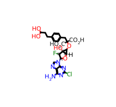 Nc1nc(Cl)nc2c1ncn2[C@@H]1O[C@@H]2C(OC(Cc3ccc(CCC(O)O)cc3)(C(=O)O)C(=O)O)[C@]2(O)[C@@H]1F